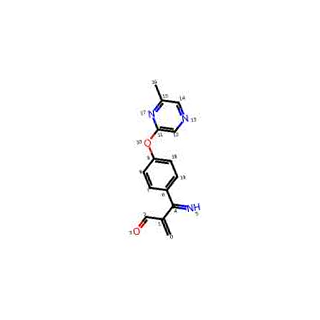 C=C(C=O)C(=N)c1ccc(Oc2cncc(C)n2)cc1